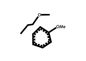 CCCOC.COc1ccccc1